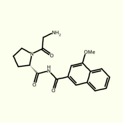 COc1cc(C(=O)NC(=O)[C@@H]2CCCN2C(=O)CN)cc2ccccc12